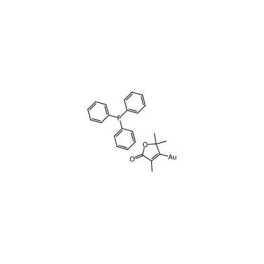 CC1=[C]([Au])C(C)(C)OC1=O.c1ccc(P(c2ccccc2)c2ccccc2)cc1